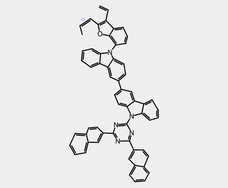 C=Cc1c(/C=C\C)oc2c(-n3c4ccccc4c4cc(-c5ccc6c(c5)c5ccccc5n6-c5nc(-c6ccc7ccccc7c6)nc(-c6ccc7ccccc7c6)n5)ccc43)cccc12